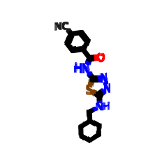 N#Cc1ccc(C(=O)Nc2nnc(NCC3CCCCC3)s2)cc1